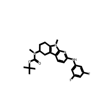 CN(C(=O)OC(C)(C)C)C1CCc2c(c3ccc(Nc4cc(F)cc(F)c4)nc3n2C)C1